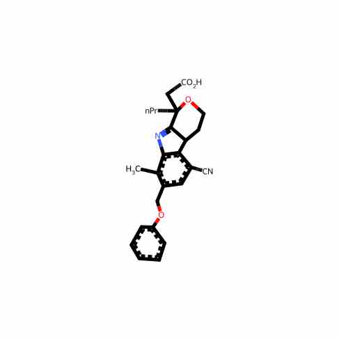 CCCC1(CC(=O)O)OCCC2C1=Nc1c(C)c(COc3ccccc3)cc(C#N)c12